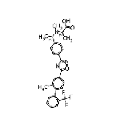 Cc1cc(-c2nc(-c3ccc([C@@H](C)N(C)[C@H](C)C(=O)O)cc3)no2)ccc1-c1ccccc1C(F)(F)F